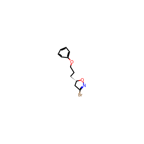 BrC1=NO[C@@H](CCCOc2ccccc2)C1